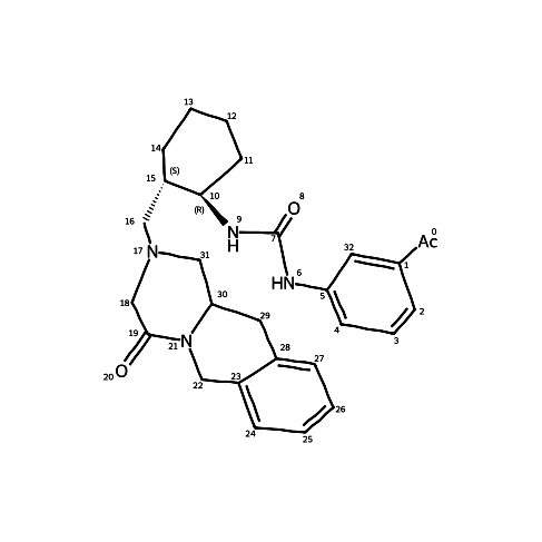 CC(=O)c1cccc(NC(=O)N[C@@H]2CCCC[C@H]2CN2CC(=O)N3Cc4ccccc4CC3C2)c1